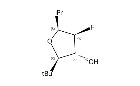 CC(C)[C@@H]1O[C@H](C(C)(C)C)[C@@H](O)[C@@H]1F